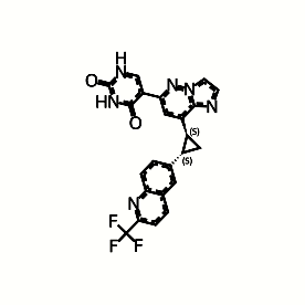 O=c1[nH]cc(-c2cc([C@H]3C[C@@H]3c3ccc4nc(C(F)(F)F)ccc4c3)c3nccn3n2)c(=O)[nH]1